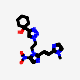 Cn1ccnc1C=Cc1ncc([N+](=O)[O-])n1CCn1cc(C2(O)CCCCC2)nn1